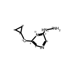 NNc1cncc(OC2CC2)n1